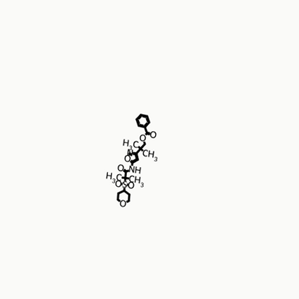 CC(C)(COC(=O)c1ccccc1)c1cc(NC(=O)C(C)(C)S(=O)(=O)C2CCOCC2)on1